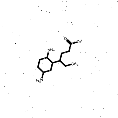 BCC(CCC(=O)O)C1CC(N)CCC1N